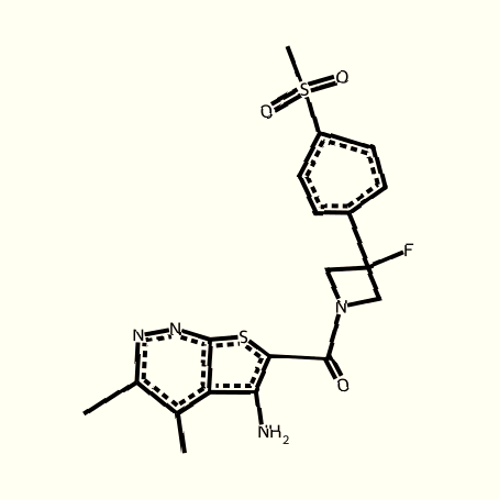 Cc1nnc2sc(C(=O)N3CC(F)(c4ccc(S(C)(=O)=O)cc4)C3)c(N)c2c1C